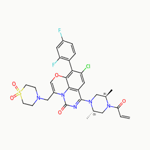 C=CC(=O)N1C[C@H](C)N(c2nc(=O)n3c4c(c(-c5ccc(F)cc5F)c(Cl)cc24)OC=C3CN2CCS(=O)(=O)CC2)C[C@H]1C